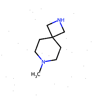 CN1CCC2(CC1)CNC2